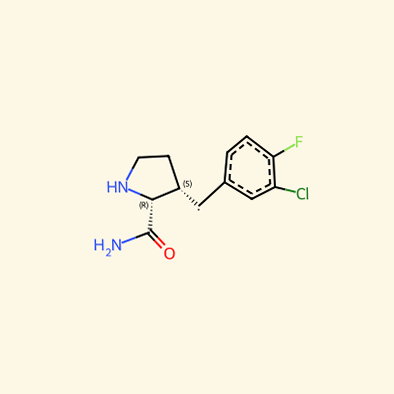 NC(=O)[C@@H]1NCC[C@@H]1[CH]c1ccc(F)c(Cl)c1